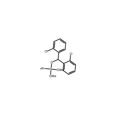 CCC[Si](OC)(OC)OC(c1ccccc1Cl)c1ccccc1Cl